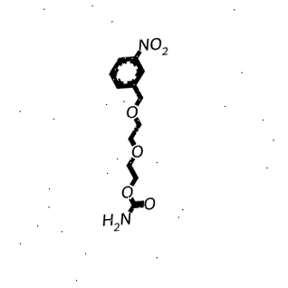 NC(=O)OCCOCCOCc1cccc([N+](=O)[O-])c1